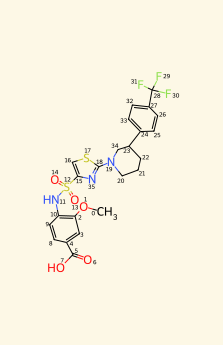 COc1cc(C(=O)O)ccc1NS(=O)(=O)c1csc(N2CCCC(c3ccc(C(F)(F)F)cc3)C2)n1